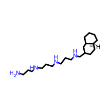 NCCCNCCCNCCCNCC1CC[C@@H]2CCCCC2C1